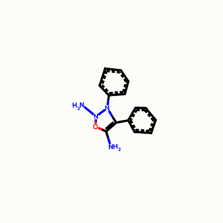 NC1=C(c2ccccc2)N(c2ccccc2)N(N)O1